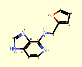 c1coc(CNc2nccc3[nH]cnc23)c1